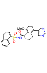 COc1ccc(-c2cncnc2)c2c1C(C(=O)NS(=O)(=O)c1cccc3ccccc13)CCC2